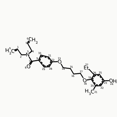 C=CCN(CC=C)C(=O)c1ccc(OCCCCOc2c(C)cc(O)cc2CC)cc1